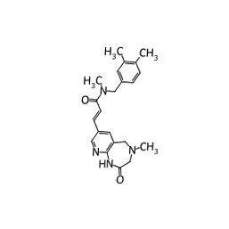 Cc1ccc(CN(C)C(=O)C=Cc2cnc3c(c2)CN(C)CC(=O)N3)cc1C